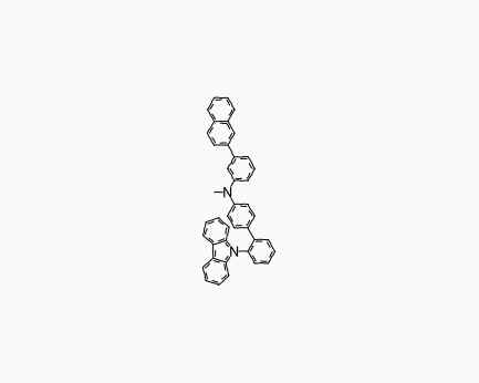 CN(c1ccc(-c2ccccc2-n2c3ccccc3c3ccccc32)cc1)c1cccc(-c2ccc3ccccc3c2)c1